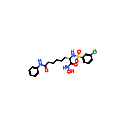 O=C(CCCCC[C@H](NS(=O)(=O)c1cccc(Cl)c1)C(=O)NO)Nc1ccccc1